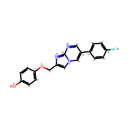 Oc1ccc(OCc2cn3cc(-c4ccc(F)cc4)cnc3n2)cc1